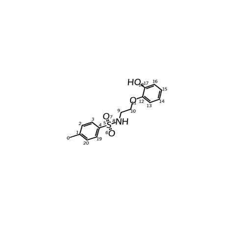 Cc1ccc(S(=O)(=O)NCCOc2ccccc2O)cc1